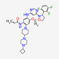 C=CC(=O)Nc1cc(Nc2cc(N3OCCC3c3c(F)ccc(F)c3F)ncn2)c(OC)cc1N1CCC(N2CCN(C3CCC3)CC2)CC1